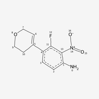 Nc1ccc(C2=CCOCC2)c(F)c1[N+](=O)[O-]